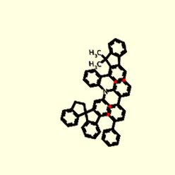 CC1(C)c2ccccc2-c2cccc(-c3ccccc3N(c3ccc4c(c3)C3(CCc5ccccc53)c3ccccc3-4)c3ccccc3-c3ccc(-c4ccccc4)cc3)c21